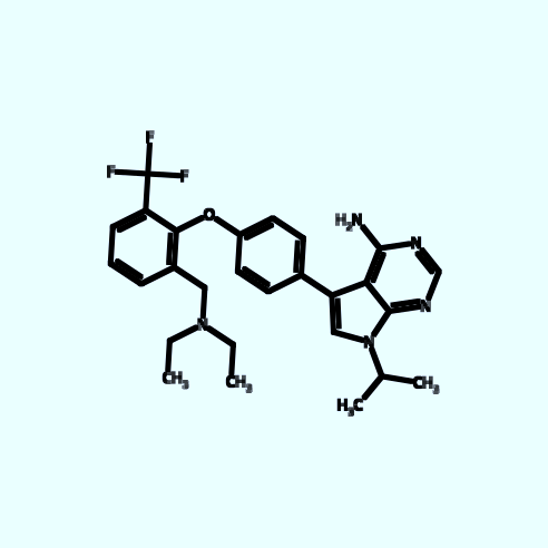 CCN(CC)Cc1cccc(C(F)(F)F)c1Oc1ccc(-c2cn(C(C)C)c3ncnc(N)c23)cc1